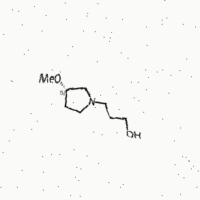 CO[C@H]1CCN(CCCO)C1